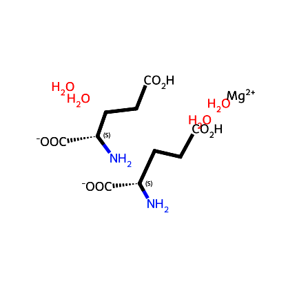 N[C@@H](CCC(=O)O)C(=O)[O-].N[C@@H](CCC(=O)O)C(=O)[O-].O.O.O.O.[Mg+2]